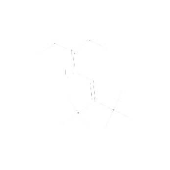 CCN(CC)[SiH2]C=C(C(C)(C)C)C(C)(C)C